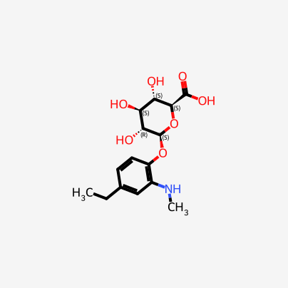 CCc1ccc(O[C@@H]2O[C@H](C(=O)O)[C@@H](O)[C@H](O)[C@H]2O)c(NC)c1